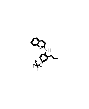 CCCc1cc(OC(F)(F)F)ccc1Nc1ccc2ccccc2n1